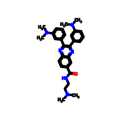 CN(C)CCNC(=O)c1ccc2nc(-c3cccc(N(C)C)c3)c(-c3cccc(N(C)C)c3)nc2c1